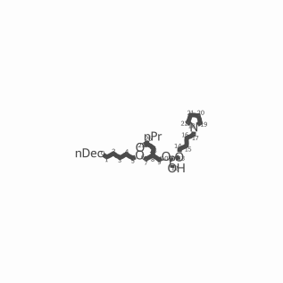 CCCCCCCCCCCCCCCOCC(COP(O)OCCCCN1CCCC1)CC(=O)CCC